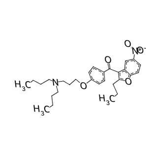 CCCCN(CCCC)CCCOc1ccc(C(=O)c2c(CCC)oc3ccc([N+](=O)[O-])cc23)cc1